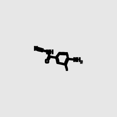 Cc1cc(C(=O)NC#N)ccc1N